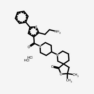 CC1(C)CC2(CCCN(C3CCN(C(=O)c4cc(-c5ccccc5)sc4CCN)CC3)C2)C(=O)O1.Cl.Cl